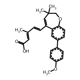 COc1ccc(-c2ccc3c(c2)C(C=CC(C)=CC(=O)O)=CC(C)(C)CO3)cc1